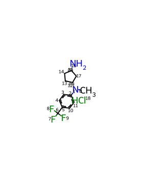 CN(c1ccc(C(F)(F)F)cc1)[C@@H]1CC[C@H](N)C1.Cl